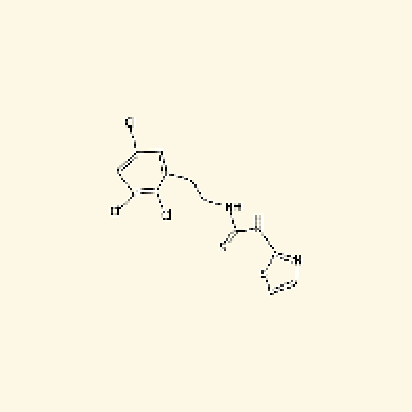 S=C(NCCc1cc(Cl)cc(Cl)c1Cl)Nc1nccs1